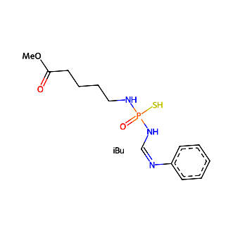 CC[C@H](C)C(=Nc1ccccc1)NP(=O)(S)NCCCCC(=O)OC